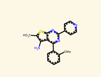 COc1ccccc1-c1nc(-c2ccncc2)nc2sc(C(=O)O)c(N)c12